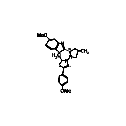 C=C1C[C@@H](c2nc3cc(OC)ccc3[nH]2)N(N2[C]=C(c3ccc(OC)cc3)SC2C)C1